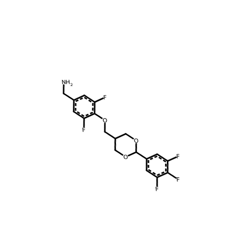 NCc1cc(F)c(OCC2COC(c3cc(F)c(F)c(F)c3)OC2)c(F)c1